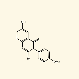 COc1ccc(C2C(=O)c3cc(O)ccc3N=C2Br)cc1